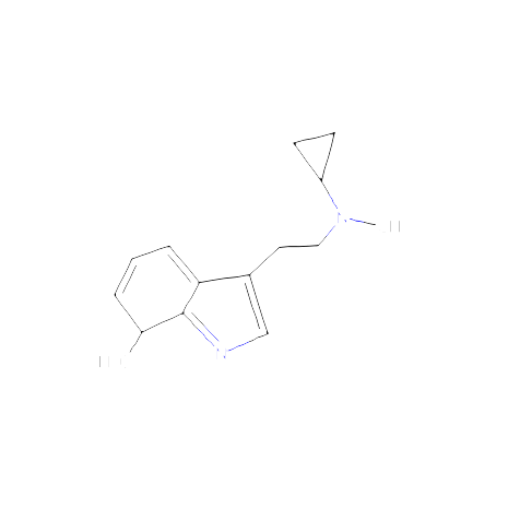 CC1C=CC=C2C(CCN(C)C3CC3)=CN=C21